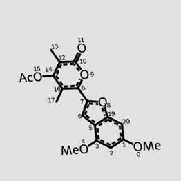 COc1cc(OC)c2cc(-c3oc(=O)c(C)c(OC(C)=O)c3C)oc2c1